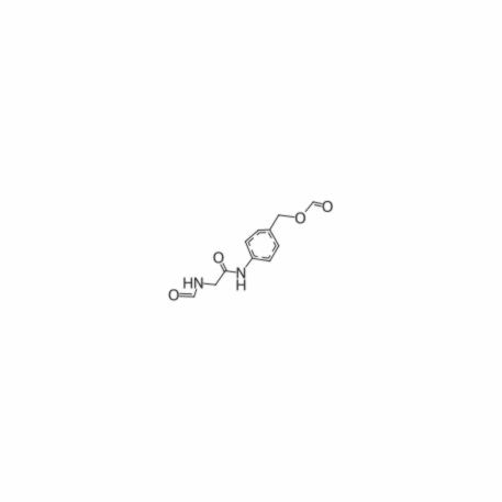 O=CNCC(=O)Nc1ccc(COC=O)cc1